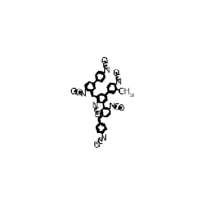 Cc1cc(-c2cc(Cc3cc(-c4ccc(N=C=O)cc4)ccc3N=C=O)c(N=C=O)c(-c3cc(Cc4ccc(N=C=O)cc4)ccc3N=C=O)c2)ccc1N=C=O